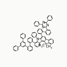 CC1(C)c2ccccc2-c2cc(-c3ccccc3-c3ccccc3-c3nc(-c4ccccc4)nc(-c4ccccc4)n3)c3c(c21)c1cccc(-c2ccccc2-c2ccccc2-c2cc(-c4ccccc4)cc(-c4ccccc4)c2)c1n3-c1ccccc1